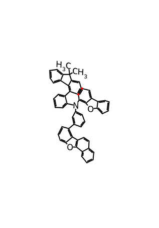 CC1(C)c2ccccc2-c2c(-c3ccccc3N(c3cccc(-c4cccc5oc6c7ccccc7ccc6c45)c3)c3cccc4c3oc3ccccc34)cccc21